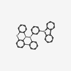 c1cc(N2B3c4ccccc4Oc4cccc(c43)-c3ccccc32)cc(-n2c3ccccc3c3ccccc32)c1